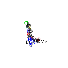 CCn1cncc1CNc1cc(C(=O)OC)ccc1NC(=O)CN1CCC(Oc2cccc(CSc3ccc(Cl)cc3F)n2)CC1